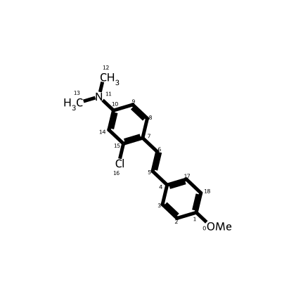 COc1ccc(C=Cc2ccc(N(C)C)cc2Cl)cc1